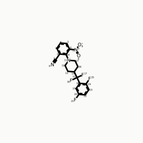 N#Cc1cccc([N+](=O)[O-])c1N1CCC(C(F)(F)c2cc(F)ccc2F)CC1